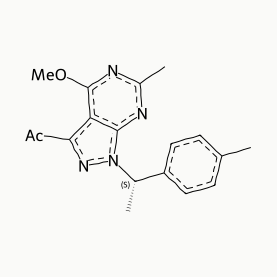 COc1nc(C)nc2c1c(C(C)=O)nn2[C@@H](C)c1ccc(C)cc1